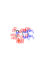 NC(=O)CC[C@H](N)C(=O)O.NC(=O)CC[C@H](N)C(=O)O.O=C([O-])c1ccc[n+]([C@@H]2O[C@H](COP(=O)(O)O)[C@@H](O)[C@H]2O)c1